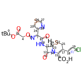 CC(C)(C)OC(=O)CON=C(C(=O)NC1C(=O)N2C(C(=O)O)=C(/C=C/Cl)CS[C@@H]12)c1cscn1